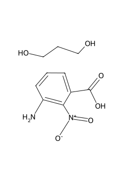 Nc1cccc(C(=O)O)c1[N+](=O)[O-].OCCCO